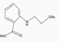 COC(=O)c1ccccc1NCCOC(C)=O